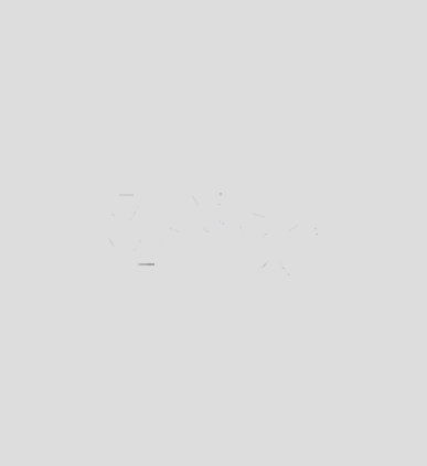 CCc1c(-c2cn(-c3ccc4c(c3)C3=CCCC=C3C3CC=CC=C43)c3c2=CCCC=3)oc2ccc3ccc4ccccc4c3c12